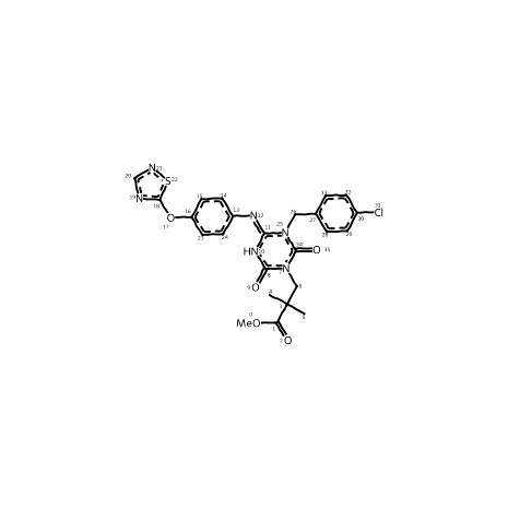 COC(=O)C(C)(C)Cn1c(=O)[nH]/c(=N\c2ccc(Oc3ncns3)cc2)n(Cc2ccc(Cl)cc2)c1=O